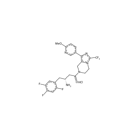 COc1ccc(-c2nc(C(F)(F)F)n3c2CN(C(=O)C[C@H](N)Cc2cc(F)c(F)cc2F)CC3)cn1.Cl